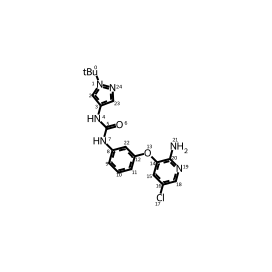 CC(C)(C)n1cc(NC(=O)Nc2cccc(Oc3cc(Cl)cnc3N)c2)cn1